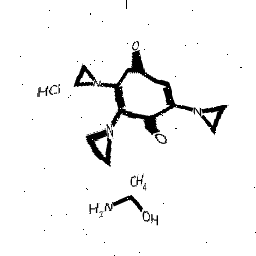 C.Cl.NCO.O=C1C=C(N2CC2)C(=O)C(N2CC2)=C1N1CC1